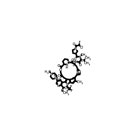 COC(C)c1ncc(N2CCN(C)CC2)cc1-c1c2c3cc(c(C)cc3n1CC(F)(F)F)-c1csc(n1)C[C@H](NC(=O)[C@H](C(C)C)N(C)C(=O)C1CCN(C(=O)C(F)Cl)C1)C(=O)N1CCCC(N1)C(=O)OCC(C)(C)C2